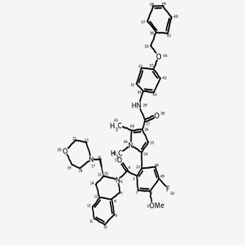 COc1cc(C(=O)N2Cc3ccccc3C[C@H]2CN2CCOCC2)c(-c2cc(C(=O)Nc3ccc(OCc4ccccc4)cc3)c(C)n2C)cc1F